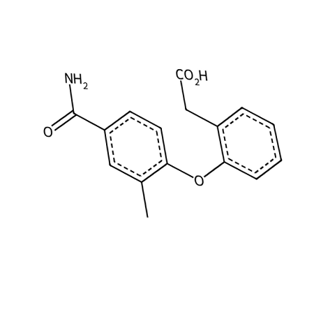 Cc1cc(C(N)=O)ccc1Oc1ccccc1CC(=O)O